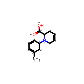 CC1=CC=CC(N2CC=CCC2C(=O)O)C1